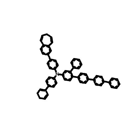 C1=Cc2ccc(-c3ccc(N(c4ccc(C5=CCCC=C5)cc4)c4ccc(-c5ccc(-c6ccc(-c7ccccc7)cc6)cc5)c(-c5ccccc5)c4)cc3)cc2C=CC1